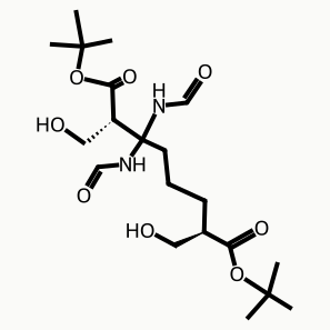 CC(C)(C)OC(=O)[C@@H](CO)CCCC(NC=O)(NC=O)[C@H](CO)C(=O)OC(C)(C)C